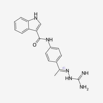 C/C(=N\NC(=N)N)c1ccc(NC(=O)c2c[nH]c3ccccc23)cc1